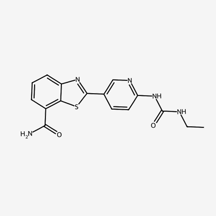 CCNC(=O)Nc1ccc(-c2nc3cccc(C(N)=O)c3s2)cn1